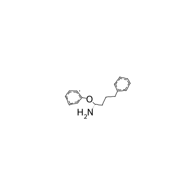 N[C@@H](CCCc1ccccc1)Oc1[c]cccc1